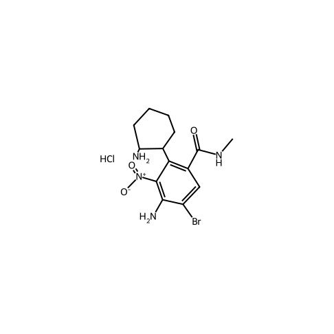 CNC(=O)c1cc(Br)c(N)c([N+](=O)[O-])c1C1CCCCC1N.Cl